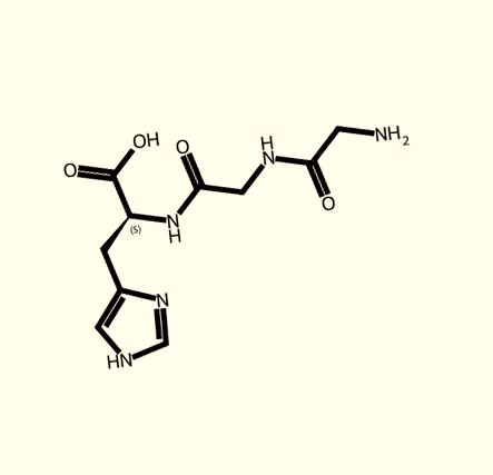 NCC(=O)NCC(=O)N[C@@H](Cc1c[nH]cn1)C(=O)O